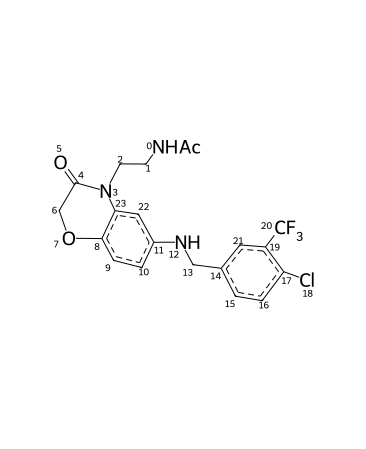 CC(=O)NCCN1C(=O)COc2ccc(NCc3ccc(Cl)c(C(F)(F)F)c3)cc21